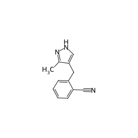 Cc1n[nH]cc1Cc1ccccc1C#N